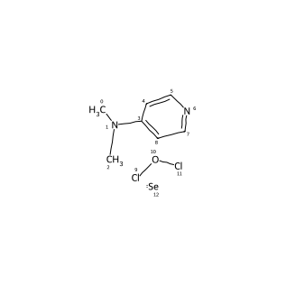 CN(C)c1ccncc1.ClOCl.[Se]